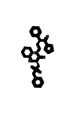 O=C(NCC[C@H](C(=O)c1nccs1)c1ccccc1)[C@H](CS(=O)(=O)Cc1ccccc1)NC1CCOCC1